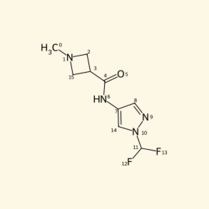 CN1CC(C(=O)Nc2cnn(C(F)F)c2)C1